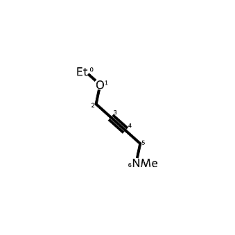 CCOCC#CCNC